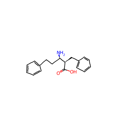 N[C@H](CCc1ccccc1)[C@@H](Cc1ccccc1)C(=O)O